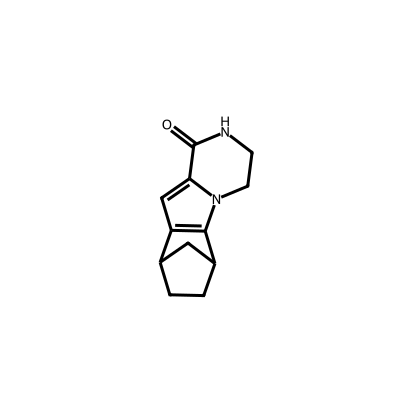 O=C1NCCn2c1cc1c2C2CCC1C2